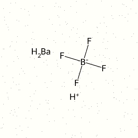 F[B-](F)(F)F.[BaH2].[H+]